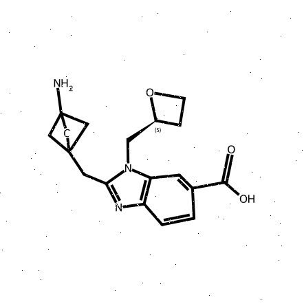 NC12CC(Cc3nc4ccc(C(=O)O)cc4n3C[C@@H]3CCO3)(C1)C2